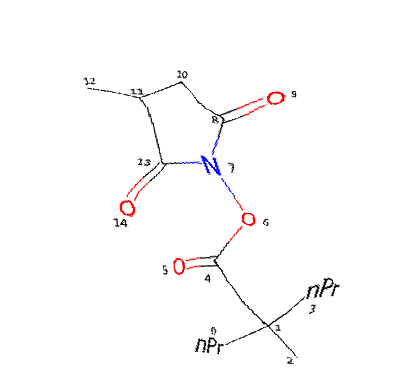 CCCC(C)(CCC)C(=O)ON1C(=O)CC(C)C1=O